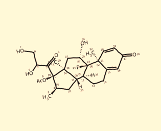 CC(=O)O[C@]1(C(=O)C(O)CO)[C@H](C)C[C@H]2[C@@H]3CCC4=CC(=O)C=C[C@]4(C)[C@@]3(F)[C@@H](O)C[C@@]21C